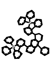 C1=Cc2c(cc3c(-c4cccc5c4-c4ccccc4[Si]5(c4ccccc4)c4ccccc4)cccc3c2-c2ccccc2)C(c2cccc3c2-c2ccccc2[Si]3(c2ccccc2)c2ccccc2)C1